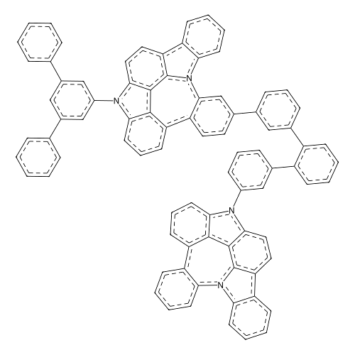 c1ccc(-c2cc(-c3ccccc3)cc(-n3c4cccc5c6ccc(-c7cccc(-c8ccccc8-c8cccc(-n9c%10cccc%11c%12ccccc%12n%12c%13ccccc%13c%13ccc9c(c%11%10)c%13%12)c8)c7)cc6n6c7ccccc7c7ccc3c(c54)c76)c2)cc1